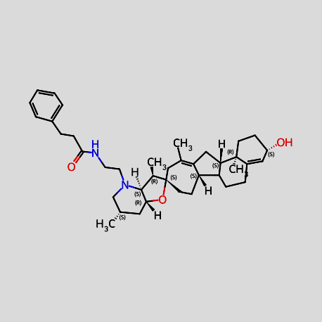 CC1=C2C[C@H]3C(CCC4=C[C@@H](O)CC[C@@]43C)[C@@H]2CC[C@@]2(C1)O[C@@H]1C[C@H](C)CN(CCNC(=O)CCc3ccccc3)[C@H]1[C@H]2C